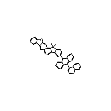 CC1(C)c2ccc(-c3c4ccccc4c(C4=CC=CC5C=CC=CC45)c4ccccc34)cc2-c2ccc3cc4c(cc3c21)oc1ccccc14